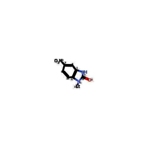 CCn1c(=O)[nH]c2cc([N+](=O)[O-])ccc21